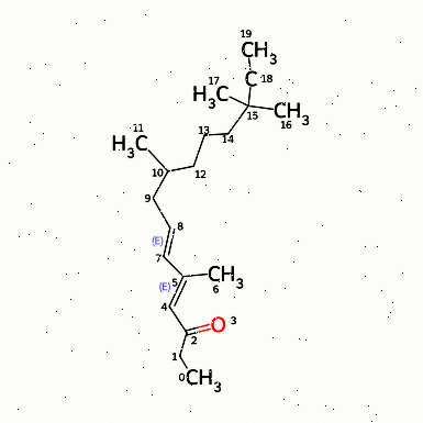 CCC(=O)/C=C(C)/C=C/CC(C)CCCC(C)(C)CC